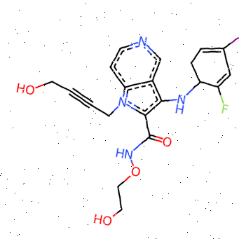 O=C(NOCCO)c1c(NC2CC=C(I)C=C2F)c2cnccc2n1CC#CCO